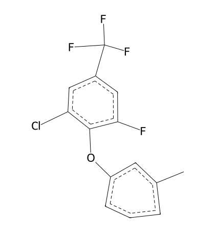 Cc1cccc(Oc2c(F)cc(C(F)(F)F)cc2Cl)c1